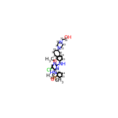 COc1c(Nc2ncc(Cl)c(Nc3ccccc3P(C)(C)=O)n2)ccc2c1CCC[C@@H](N1CCN(CCO)CC1)C2